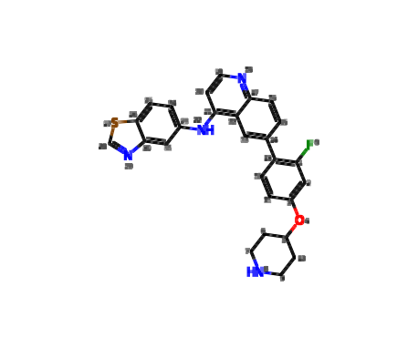 Fc1cc(OC2CCNCC2)ccc1-c1ccc2nccc(Nc3ccc4scnc4c3)c2c1